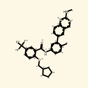 CNc1ncc2cc(-c3cc(NC(=O)c4cc(C(F)(F)F)ccc4OCC4CCCC4)ccc3C)ccc2n1